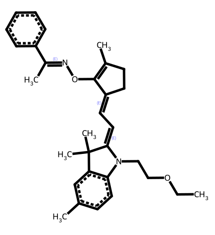 CCOCCN1/C(=C/C=C2\CCC(C)=C2O/N=C(\C)c2ccccc2)C(C)(C)c2cc(C)ccc21